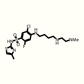 CNCCNCCCCNc1cc(F)c(S(=O)(=O)Nc2nc(C)cs2)cc1Cl